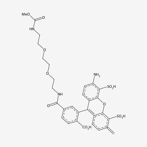 C=c1ccc2c(c1S(=O)(=O)O)Oc1c(ccc(N)c1S(=O)(=O)O)C=2c1cc(C(=O)NCCOCCOCCNC(=O)OC)ccc1C(=O)O